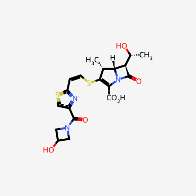 C[C@@H](O)[C@H]1C(=O)N2C(C(=O)O)=C(S/C=C\c3nc(C(=O)N4CC(O)C4)cs3)[C@H](C)[C@H]12